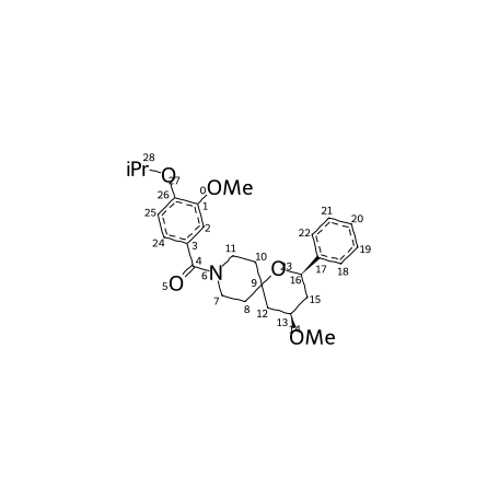 COc1cc(C(=O)N2CCC3(CC2)C[C@H](OC)C[C@H](c2ccccc2)O3)ccc1OC(C)C